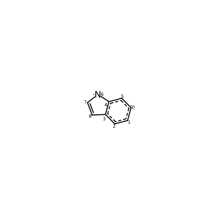 [c]1ccc2c(c1)[N]C=C2